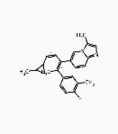 C/C(=C(\C=C/C1CC1C)c1ccc2ncc(C)n2c1)c1ccc(F)c(C)c1